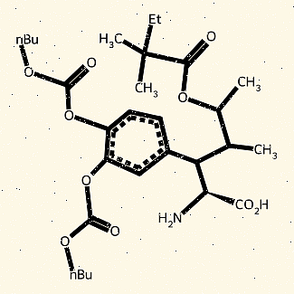 CCCCOC(=O)Oc1ccc(C(C(C)C(C)OC(=O)C(C)(C)CC)[C@H](N)C(=O)O)cc1OC(=O)OCCCC